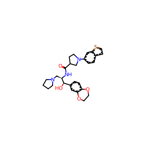 O=C(N[C@H](CN1CCCC1)[C@H](O)c1ccc2c(c1)OCCO2)C1CCN(c2ccc3ccsc3c2)C1